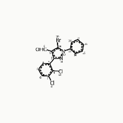 O=Cc1c(-c2cccc(Cl)c2Cl)nn(-c2ccccc2)c1Br